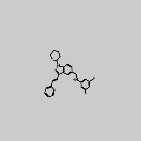 Fc1cc(F)cc(NCc2ccc3c(c2)c(C=Cc2ccccn2)nn3C2CCCCO2)c1